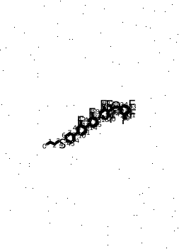 CCCCSc1ccc(-c2ccc(-c3ccc(-c4cc(F)c(C(F)(F)Oc5cc(F)c(F)c(F)c5)c(F)c4)c(F)c3)c(F)c2)cc1